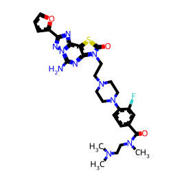 CN(C)CCN(C)C(=O)c1ccc(N2CCN(CCn3c(=O)sc4c3nc(N)n3nc(-c5ccco5)nc43)CC2)c(F)c1